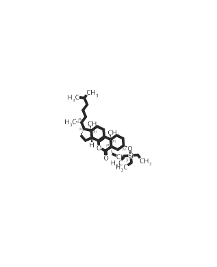 CC[C@@]12C[C@@H](O[Si](CC)(CC)CC)CC[C@]1(C)C1=C(OC2=O)[C@@H]2CC[C@H]([C@H](C)CCCC(C)C)[C@@]2(C)CC1